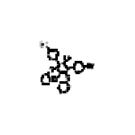 [O]c1c(-c2ccc(Br)cc2)c(Sc2ccccc2)c(Br)c(Sc2ccccc2)c1-c1ccc(Br)cc1